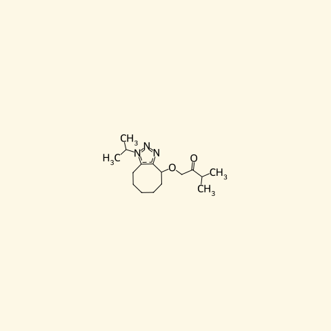 CC(C)C(=O)COC1CCCCCc2c1nnn2C(C)C